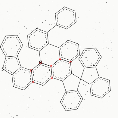 c1ccc(-c2ccccc2-c2c(-c3ccccc3)cccc2N(c2ccc3c(c2)-c2ccccc2C32c3ccccc3-c3ccccc32)c2cccc3sc4ccccc4c23)cc1